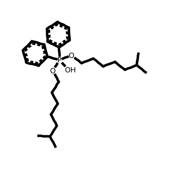 CC(C)CCCCCOP(O)(OCCCCCC(C)C)(c1ccccc1)c1ccccc1